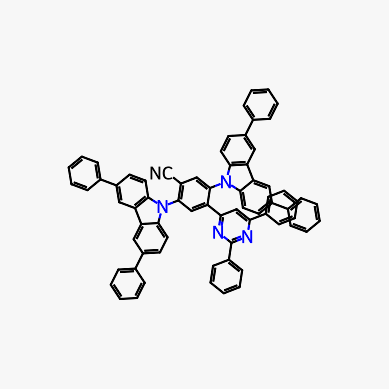 N#Cc1cc(-n2c3ccc(-c4ccccc4)cc3c3cc(-c4ccccc4)ccc32)c(-c2cc(-c3ccccc3)nc(-c3ccccc3)n2)cc1-n1c2ccc(-c3ccccc3)cc2c2cc(-c3ccccc3)ccc21